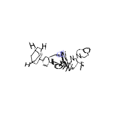 Oc1ccc(C23C[C@H]4C[C@@H](C2)C[C@@H](C3)C4)cc1/C=N\Nc1ncc(F)c(N2CCOCC2)n1